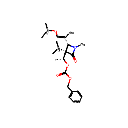 C[C@@H](OC(=O)OCc1ccccc1)[C@]1([SiH](C)C)C(=O)N(C(C)(C)C)[C@H]1C(=CO[SiH](C)C)C(C)(C)C